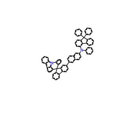 c1ccc(N(c2ccc3cc(-c4ccc5c(c4)C4(c6ccccc6-5)c5ccccc5-n5c6ccccc6c6cccc4c65)ccc3c2)c2cccc3c2-c2ccccc2C3(c2ccccc2)c2ccccc2)cc1